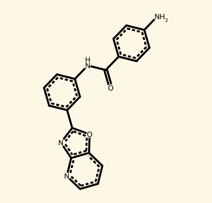 Nc1ccc(C(=O)Nc2cccc(-c3nc4ncccc4o3)c2)cc1